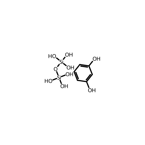 O[Si](O)(O)O[Si](O)(O)O.Oc1cccc(O)c1